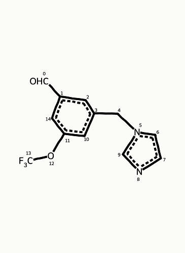 O=Cc1cc(Cn2ccnc2)cc(OC(F)(F)F)c1